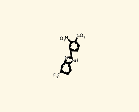 O=[N+]([O-])c1ccc(-c2nc3cc(C(F)(F)F)ccc3[nH]2)cc1[N+](=O)[O-]